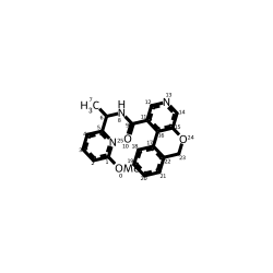 COc1cccc(C(C)NC(=O)c2cncc3c2-c2ccccc2CO3)n1